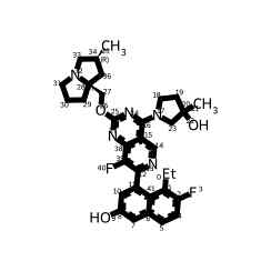 CCc1c(F)ccc2cc(O)cc(-c3ncc4c(N5CCC(C)(O)C5)nc(OC[C@@]56CCCN5C[C@H](C)C6)nc4c3F)c12